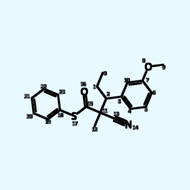 CCC(c1cccc(OC)c1)C(C)(C#N)C(=O)Sc1ccccc1